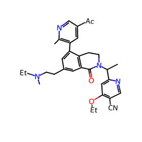 CCOc1cc(C(C)N2CCc3c(cc(CCN(C)CC)cc3-c3cc(C(C)=O)cnc3C)C2=O)ncc1C#N